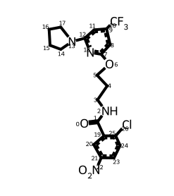 O=C(NCCCOc1cc(C(F)(F)F)cc(N2CCCC2)n1)c1cc([N+](=O)[O-])ccc1Cl